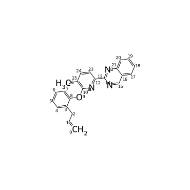 C=CCc1ccccc1Oc1nc(-c2ncc3ccccc3n2)ccc1C